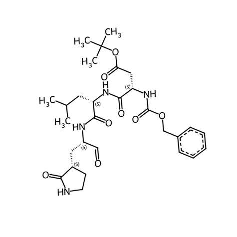 CC(C)C[C@H](NC(=O)[C@H](CC(=O)OC(C)(C)C)NC(=O)OCc1ccccc1)C(=O)N[C@H](C=O)C[C@@H]1CCNC1=O